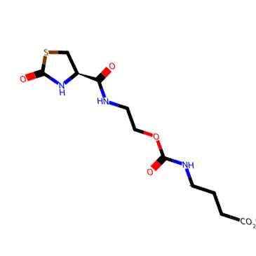 CCOC(=O)CC[CH]NC(=O)OCCNC(=O)[C@@H]1CSC(=O)N1